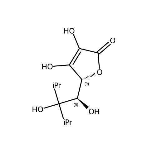 CC(C)C(O)(C(C)C)[C@H](O)[C@H]1OC(=O)C(O)=C1O